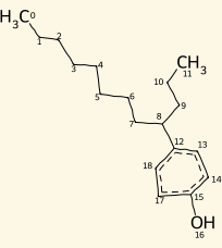 CCCCCCCCC(CCC)c1ccc(O)cc1